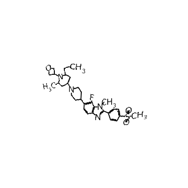 CCC1CC(N2CCC(c3ccc4nc(-c5ccc(S(C)(=O)=O)cc5)n(C)c4c3F)CC2)CC(C)N1C1COC1